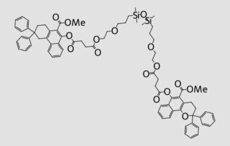 COC(=O)c1c2c(c3ccccc3c1OC(=O)CCC(=O)OCCOCCC[Si](C)(C)O[Si](C)(C)CCCOCCOC(=O)CCC(=O)Oc1c(C(=O)OC)c3c(c4ccccc14)OC(c1ccccc1)(c1ccccc1)CC3)CC(c1ccccc1)(c1ccccc1)CC2